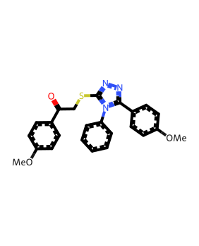 COc1ccc(C(=O)CSc2nnc(-c3ccc(OC)cc3)n2-c2ccccc2)cc1